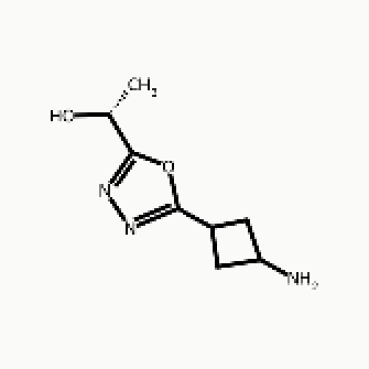 C[C@@H](O)c1nnc(C2CC(N)C2)o1